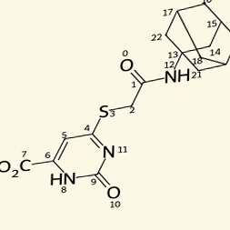 O=C(CSc1cc(C(=O)O)[nH]c(=O)n1)NC12CC3CC(CC(C3)C1)C2